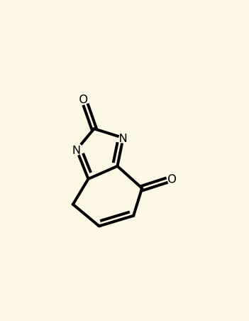 O=C1N=C2CC=CC(=O)C2=N1